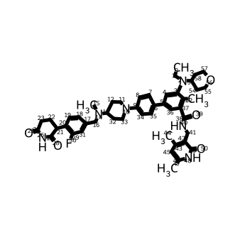 CCN(c1cc(-c2ccc(N3CCC(N(C)Cc4ccc(C5CCC(=O)NC5=O)c(F)c4)CC3)cc2)cc(C(=O)NCc2c(C)cc(C)[nH]c2=O)c1C)C1CCOCC1